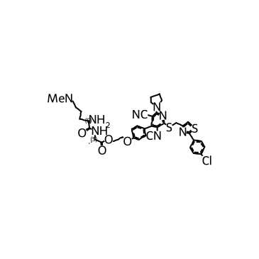 CNCCCC[C@H](N)C(=O)N[C@@H](C)C(=O)OCCOc1ccc(-c2c(C#N)c(SCc3csc(-c4ccc(Cl)cc4)n3)nc(N3CCCC3)c2C#N)cc1